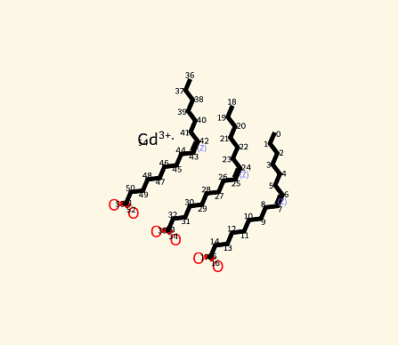 CCCCCC/C=C\CCCCCCCC(=O)[O-].CCCCCC/C=C\CCCCCCCC(=O)[O-].CCCCCC/C=C\CCCCCCCC(=O)[O-].[Gd+3]